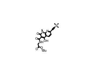 Cn1c(=O)c(C(=O)NCC(=O)OC(C)(C)C)c(O)c2ccc(C#C[Si](C)(C)C)nc21